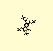 CC(C)(C)OC(=O)c1cc(C(=O)OC(C)(C)C)c(C(=O)OC(C)(C)C)cc1C(=O)OC(C)(C)C